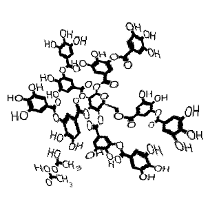 CC(=O)O.CC(=O)O.O=C(OC[C@@H]1O[C@H](OC(=O)c2cc(O)c(O)c(OC(=O)c3cc(O)c(O)c(O)c3)c2)[C@@H](OC(=O)c2cc(O)c(O)c(OC(=O)c3cc(O)c(O)c(O)c3)c2)[C@H](OC(=O)c2cc(O)c(O)c(OC(=O)c3cc(O)c(O)c(O)c3)c2)[C@H]1OC(=O)c1cc(O)c(O)c(OC(=O)c2cc(O)c(O)c(O)c2)c1)c1cc(O)c(O)c(OC(=O)c2cc(O)c(O)c(O)c2)c1